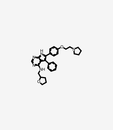 c1ccc(-c2c(-c3ccc(OCCN4CCCC4)cc3)[nH]c3ncnc(NCC4CCCO4)c23)cc1